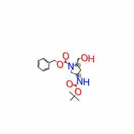 CC(C)(C)OC(=O)N[C@@H]1C[C@H](CO)N(C(=O)OCc2ccccc2)C1